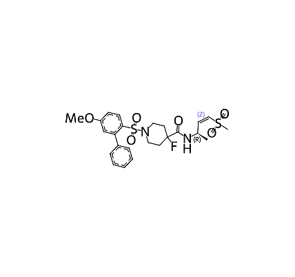 COc1ccc(S(=O)(=O)N2CCC(F)(C(=O)N[C@H](C)/C=C\S(C)(=O)=O)CC2)c(-c2ccccc2)c1